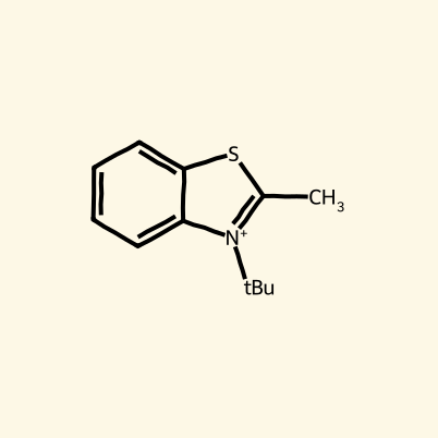 Cc1sc2ccccc2[n+]1C(C)(C)C